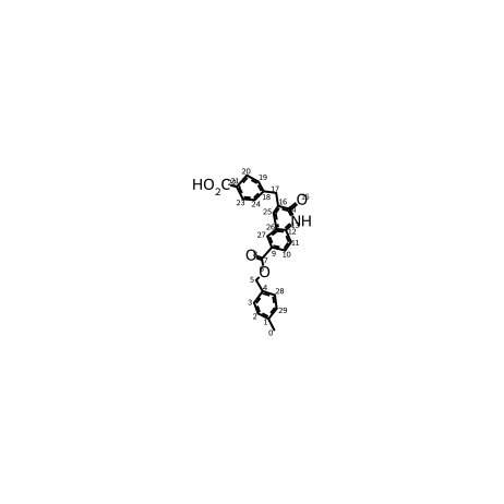 Cc1ccc(COC(=O)c2ccc3[nH]c(=O)c(Cc4ccc(C(=O)O)cc4)cc3c2)cc1